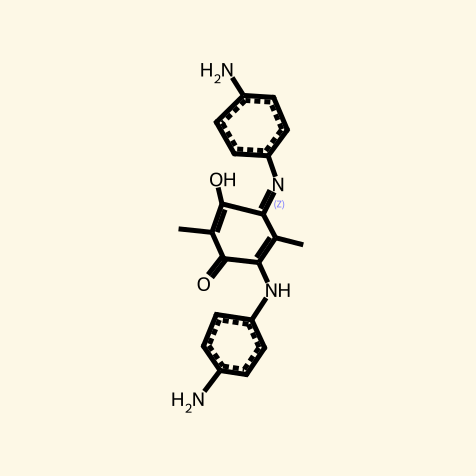 CC1=C(O)/C(=N\c2ccc(N)cc2)C(C)=C(Nc2ccc(N)cc2)C1=O